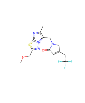 COCc1nn2c(CN3CC(CC(F)(F)F)=CC3=O)c(C)nc2s1